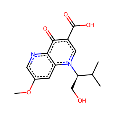 COc1cnc2c(=O)c(C(=O)O)cn([C@H](CO)C(C)C)c2c1